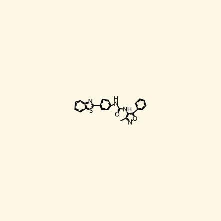 Cc1noc(-c2ccccc2)c1NC(=O)Nc1ccc(-c2nc3ccccc3s2)cc1